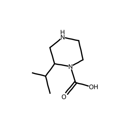 CC(C)C1CNCCN1C(=O)O